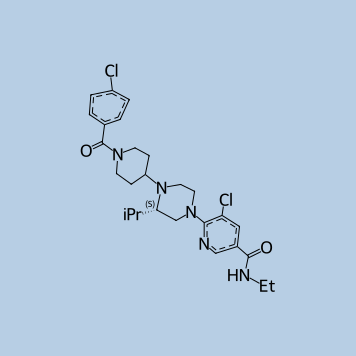 CCNC(=O)c1cnc(N2CCN(C3CCN(C(=O)c4ccc(Cl)cc4)CC3)[C@@H](C(C)C)C2)c(Cl)c1